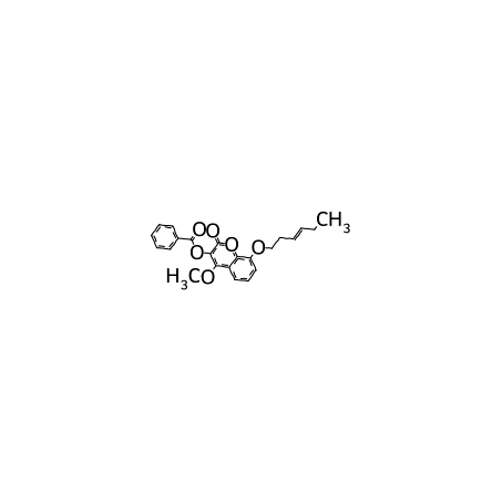 CC/C=C/CCOc1cccc2c(OC)c(OC(=O)c3ccccc3)c(=O)oc12